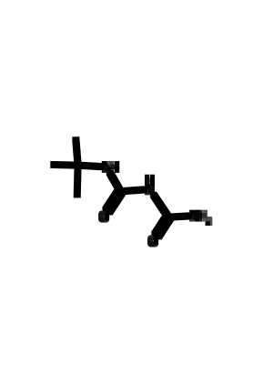 CC(C)(C)NC(=O)NC(N)=O